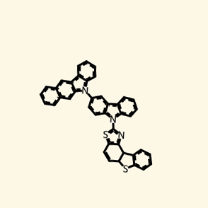 C1=CC2Sc3ccccc3C2c2nc(-n3c4ccccc4c4cc(-n5c6ccccc6c6cc7ccccc7cc65)ccc43)sc21